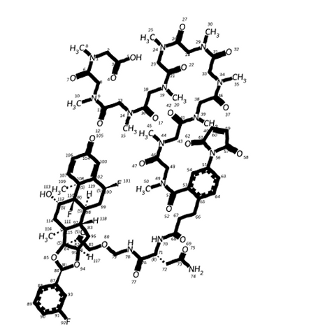 CN(CC(=O)O)C(=O)CN(C)C(=O)CN(C)C(=O)CN(C)C(=O)CN(C)C(=O)CN(C)C(=O)CN(C)C(=O)CN(C)C(=O)CN(C)C(=O)CN(C)C(=O)c1cc(N2C(=O)C=CC2=O)ccc1CCC(=O)N[C@H](CC(N)=O)C(=O)NCOCC(=O)[C@@]12O[C@H](c3cccc(F)c3)O[C@@H]1C[C@H]1[C@@H]3C[C@H](F)C4=CC(=O)C=C[C@]4(C)[C@@]3(F)[C@@H](O)C[C@@]12C